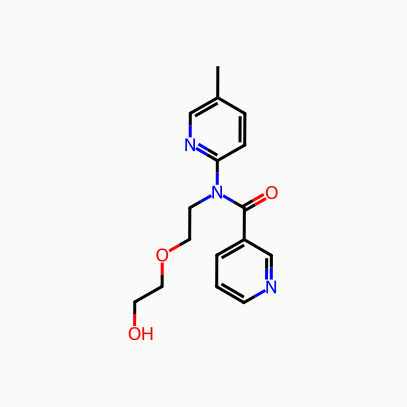 Cc1ccc(N(CCOCCO)C(=O)c2cccnc2)nc1